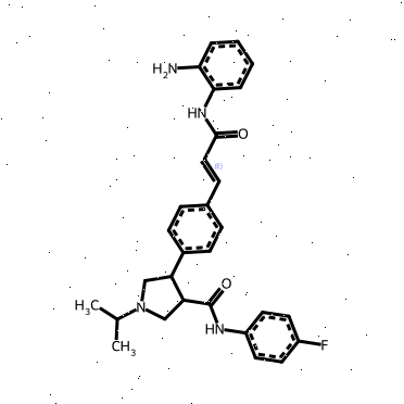 CC(C)N1CC(C(=O)Nc2ccc(F)cc2)C(c2ccc(/C=C/C(=O)Nc3ccccc3N)cc2)C1